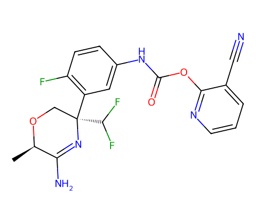 C[C@H]1OC[C@](c2cc(NC(=O)Oc3ncccc3C#N)ccc2F)(C(F)F)N=C1N